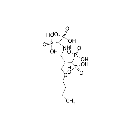 CCCCOCC(CNC(P(=O)(O)O)P(=O)(O)O)C(P(=O)(O)O)P(=O)(O)O